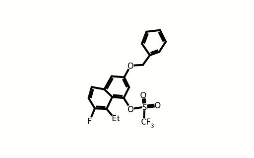 CCc1c(F)ccc2cc(OCc3ccccc3)cc(OS(=O)(=O)C(F)(F)F)c12